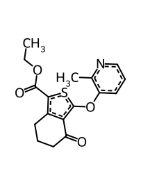 CCOC(=O)c1sc(Oc2cccnc2C)c2c1CCCC2=O